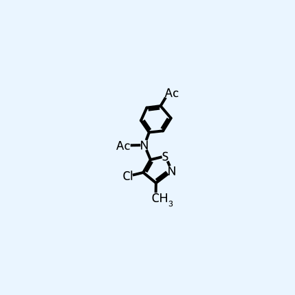 CC(=O)c1ccc(N(C(C)=O)c2snc(C)c2Cl)cc1